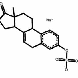 CC12CCC3C(=CCc4cc(OS(=O)(=O)[O-])ccc43)C1CCC2=O.[Na+]